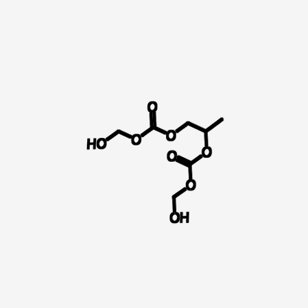 CC(COC(=O)OCO)OC(=O)OCO